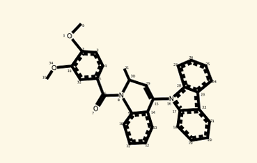 COc1ccc(C(=O)N2c3ccccc3C(n3c4ccccc4c4ccccc43)=CC2C)cc1OC